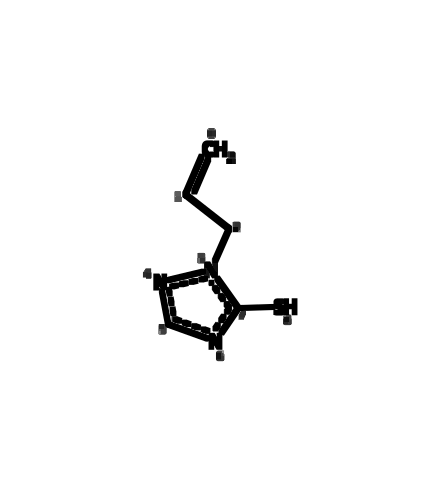 C=CCn1ncnc1S